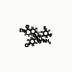 CCN1CCc2cc(CN(C(C(N)=O)c3cc(F)cc(F)c3)S(=O)(=O)c3ccc(Cl)cc3)ccc2C1=O